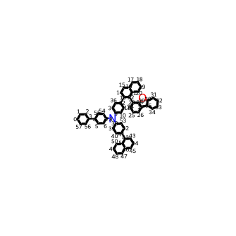 c1ccc(-c2ccc(N(c3ccc(-c4ccc5ccccc5c4-c4cccc5c4oc4ccccc45)cc3)c3ccc(-c4cccc5ccccc45)cc3)cc2)cc1